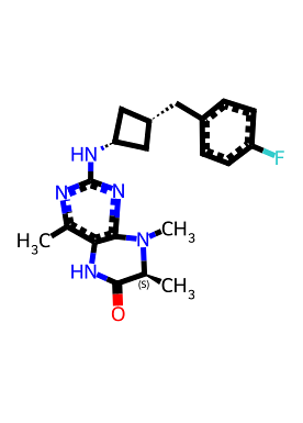 Cc1nc(N[C@H]2C[C@@H](Cc3ccc(F)cc3)C2)nc2c1NC(=O)[C@H](C)N2C